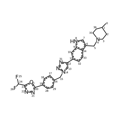 CC1CCN(Cc2c[nH]c3cc(-c4cn(Cc5ccc(-c6nnc(C(F)F)o6)cc5)nn4)ccc23)CC1